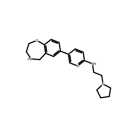 c1cc(NCCN2CCCC2)ncc1-c1ccc2c(c1)CNCCO2